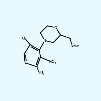 CNCC1CN(c2c(Cl)cnc(N)c2[N+](=O)[O-])CCO1